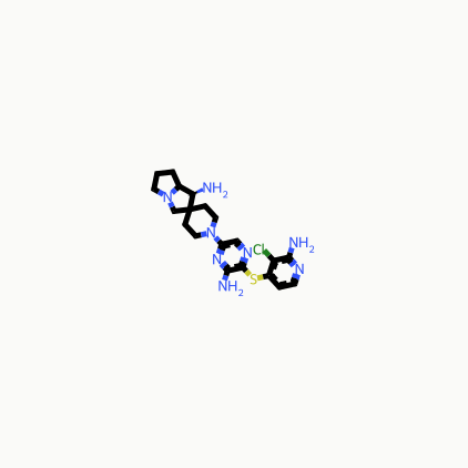 Nc1nc(N2CCC3(CC2)CN2CCCC2[C@H]3N)cnc1Sc1ccnc(N)c1Cl